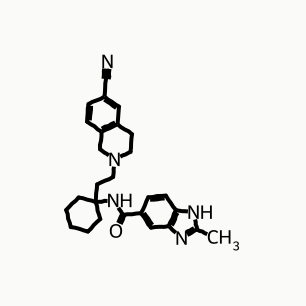 Cc1nc2cc(C(=O)NC3(CCN4CCc5cc(C#N)ccc5C4)CCCCC3)ccc2[nH]1